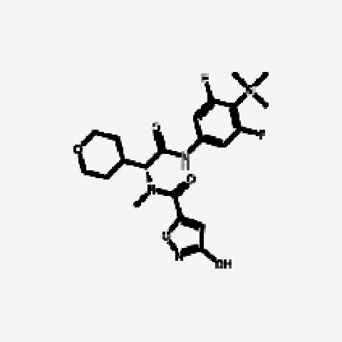 CN(C(=O)c1cc(O)no1)[C@@H](C(=O)Nc1cc(F)c([Si](C)(C)C)c(F)c1)C1CCOCC1